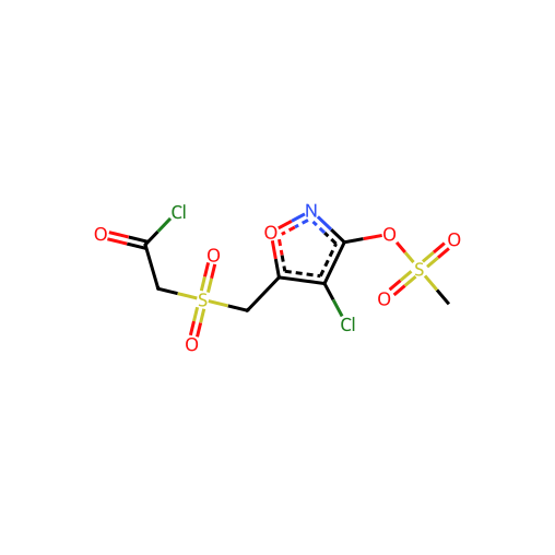 CS(=O)(=O)Oc1noc(CS(=O)(=O)CC(=O)Cl)c1Cl